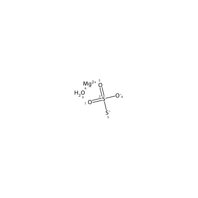 O.O=S(=O)([O-])[S-].[Mg+2]